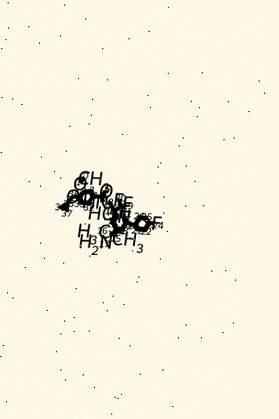 COc1cc(C(=O)NC[C@](O)(c2cc(C(C)(C)N)cc(-c3ccc(F)cc3)n2)C(F)(F)F)ccc1OC1CC1